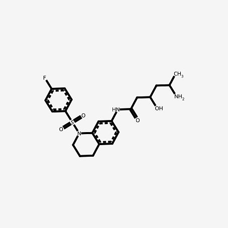 CC(N)CC(O)CC(=O)Nc1ccc2c(c1)N(S(=O)(=O)c1ccc(F)cc1)CCC2